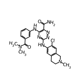 CN1CCc2cc(Nc3nnc(C(N)=O)c(Nc4cccc(C(=O)N(C)C)c4)n3)c(Cl)cc2C1